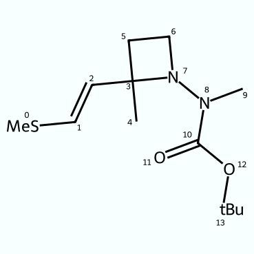 CS/C=C/C1(C)CCN1N(C)C(=O)OC(C)(C)C